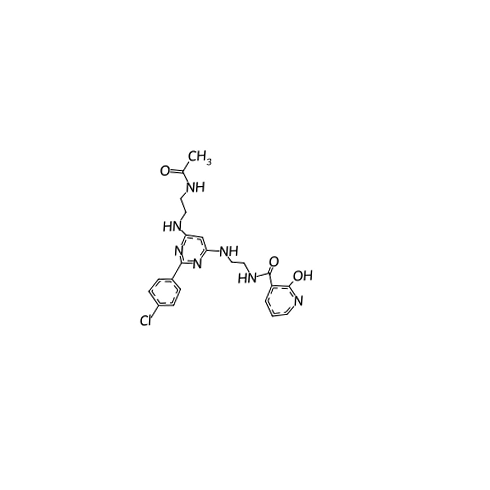 CC(=O)NCCNc1cc(NCCNC(=O)c2cccnc2O)nc(-c2ccc(Cl)cc2)n1